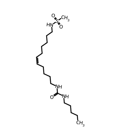 CCCCCNC(=O)NCCCC/C=C\CCCCCNS(C)(=O)=O